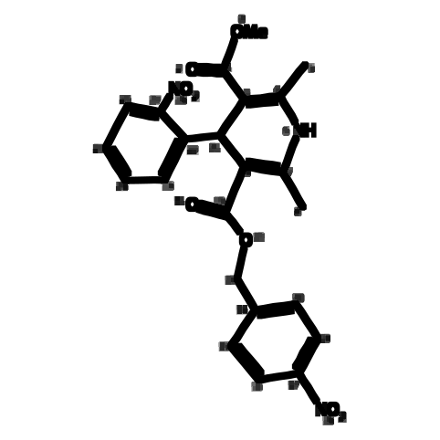 COC(=O)C1=C(C)NC(C)=C(C(=O)OCc2ccc([N+](=O)[O-])cc2)C1c1ccccc1[N+](=O)[O-]